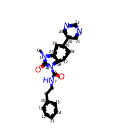 Cn1c(=O)n(C(=O)NCCc2ccccc2)c2ccc(-c3cncnc3)cc21